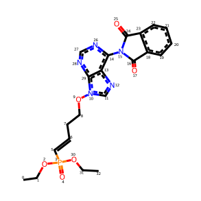 CCOP(=O)(C=CCCOn1cnc2c(N3C(=O)c4ccccc4C3=O)ncnc21)OCC